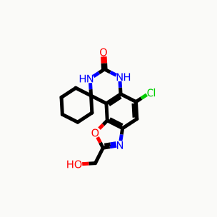 O=C1Nc2c(Cl)cc3nc(CO)oc3c2C2(CCCCC2)N1